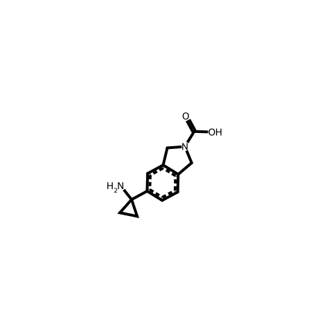 NC1(c2ccc3c(c2)CN(C(=O)O)C3)CC1